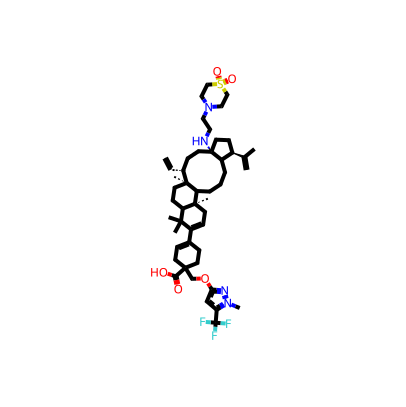 C=C[C@@H]1CC[C@@]2(NCCN3CCS(=O)(=O)CC3)CC[C@@H](C(=C)C)C2CCCC2[C@@]3(C)CC=C(C4=CCC(COc5cc(C(F)(F)F)n(C)n5)(C(=O)O)CC4)C(C)(C)C3CC[C@]21C